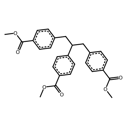 COC(=O)c1ccc(CC(Cc2ccc(C(=O)OC)cc2)c2ccc(C(=O)OC)cc2)cc1